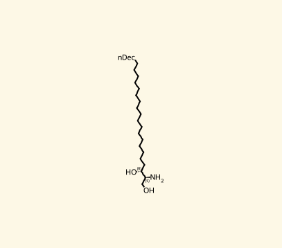 CCCCCCCCCCCCCCCCCCCCCCCCCCC[C@@H](O)[C@@H](N)CO